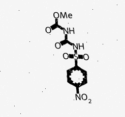 COC(=O)NC(=O)NS(=O)(=O)c1ccc([N+](=O)[O-])cc1